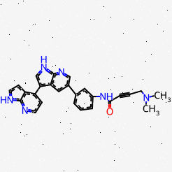 CN(C)CC#CC(=O)Nc1cccc(-c2cnc3[nH]cc(-c4ccnc5[nH]ccc45)c3c2)c1